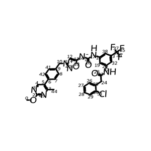 COc1ncc(-c2ccc(C[n+]3cc([N-]C(=O)Nc4cc(NC(=O)Cc5ccccc5Cl)cc(C(F)(F)F)c4)on3)cc2)c(C)n1